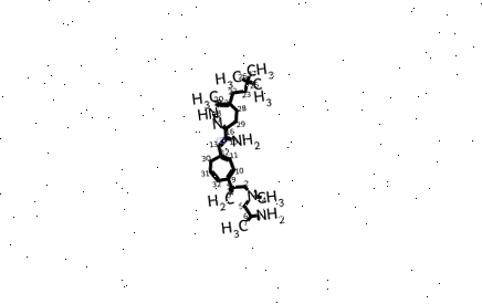 C=C(CN(C)CC(C)N)C1=CC=C(/C=C(\N)C2=NNC(C)=C(CCC(C)(C)C)CC2)CC=C1